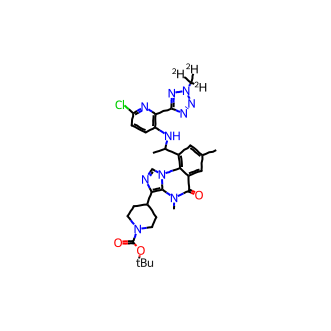 [2H]C([2H])([2H])n1nnc(-c2nc(Cl)ccc2NC(C)c2cc(C)cc3c(=O)n(C)c4c(C5CCN(C(=O)OC(C)(C)C)CC5)ncn4c23)n1